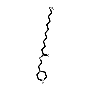 CCCCCCCCCCCC(=O)OCCN1CCNCC1